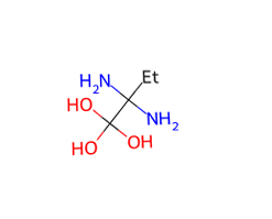 CCC(N)(N)C(O)(O)O